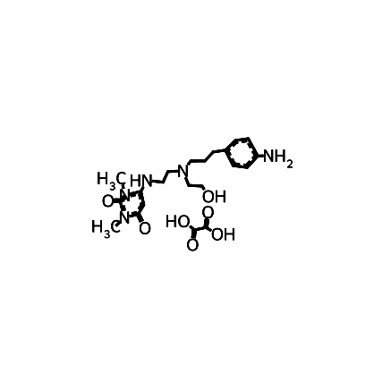 Cn1c(NCCN(CCO)CCCc2ccc(N)cc2)cc(=O)n(C)c1=O.O=C(O)C(=O)O